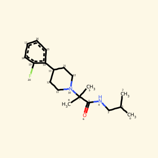 CC(C)CNC(=O)C(C)(C)N1CCC(c2ccccc2F)CC1